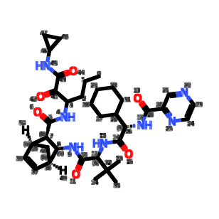 CCCC(NC(=O)[C@H]1[C@@H](NC(=O)[C@@H](NC(=O)[C@@H](NC(=O)c2cnccn2)C2CCCCC2)C(C)(C)C)[C@H]2C=C[C@@H]1C2)C(=O)C(=O)NC1CC1